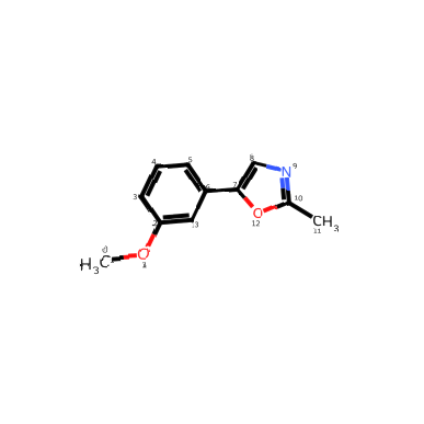 COc1cccc(-c2cnc(C)o2)c1